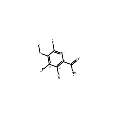 COc1c(F)nc(C(N)=O)c(Cl)c1F